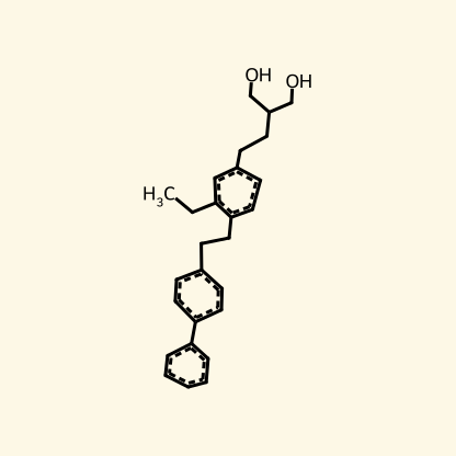 CCc1cc(CCC(CO)CO)ccc1CCc1ccc(-c2ccccc2)cc1